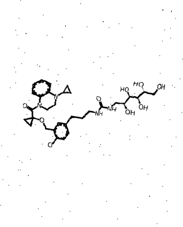 O=C(NCCCc1ccc(Cl)c(COC2(C(=O)N3CCN(C4CC4)c4ccccc43)CC2)c1)NC[C@H](O)[C@@H](O)[C@H](O)[C@H](O)CO